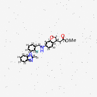 COC(=O)C[C@@H]1COc2cc(NCc3cccc(-n4c(C)nc5ccccc54)c3F)ccc21